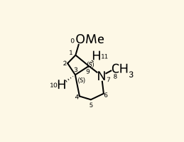 COC1C[C@@H]2CCCN(C)[C@H]12